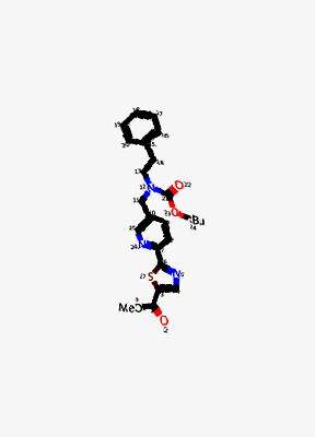 COC(=O)c1cnc(-c2ccc(CN(CCc3ccccc3)C(=O)OC(C)(C)C)cn2)s1